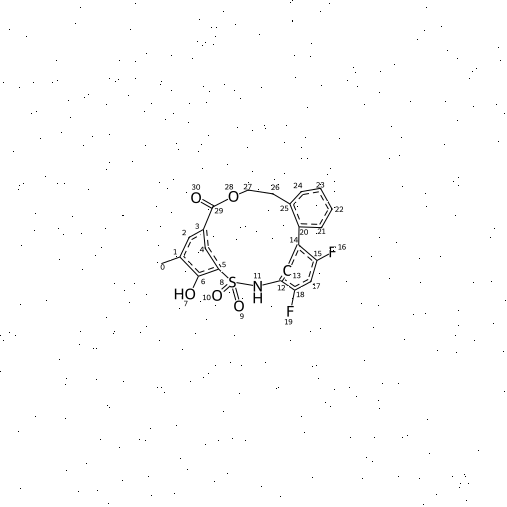 Cc1cc2cc(c1O)S(=O)(=O)Nc1cc(c(F)cc1F)-c1ccccc1CCOC2=O